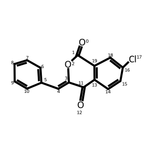 O=C1OC(=Cc2ccccc2)C(=O)c2ccc(Cl)cc21